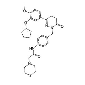 COc1ccc(C2=NN(Cc3ccc(NC(=O)CN4CCSCC4)cc3)C(=O)CC2)cc1OC1CCCC1